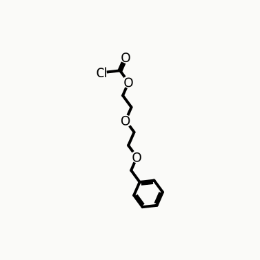 O=C(Cl)OCCOCCOCc1ccccc1